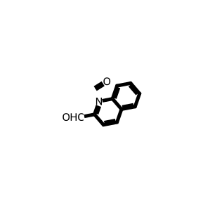 C=O.O=Cc1ccc2ccccc2n1